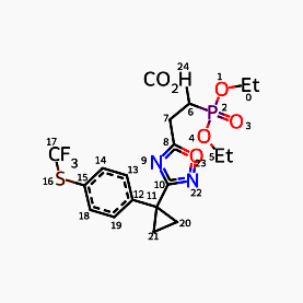 CCOP(=O)(OCC)C(Cc1nc(C2(c3ccc(SC(F)(F)F)cc3)CC2)no1)C(=O)O